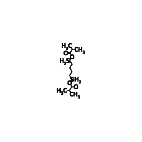 CC(C)C(=O)O[SiH2]CCCC[SiH2]OC(=O)C(C)C